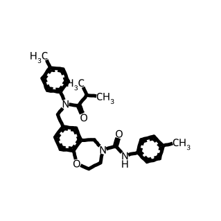 Cc1ccc(NC(=O)N2CCOc3ccc(CN(C(=O)C(C)C)c4ccc(C)cc4)cc3C2)cc1